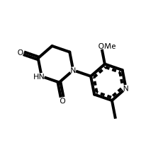 COc1cnc(C)cc1N1CCC(=O)NC1=O